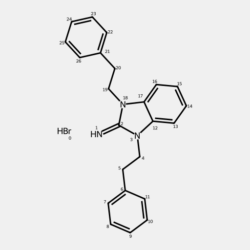 Br.N=c1n(CCc2ccccc2)c2ccccc2n1CCc1ccccc1